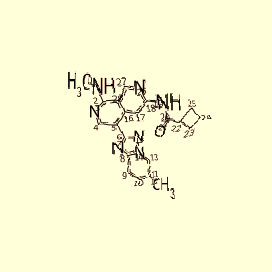 CNc1ncc(-c2nc3ccc(C)cn3n2)c2cc(NC(=O)C3CCC3)ncc12